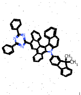 CC1(C)c2ccccc2-c2ccc(-n3c4ccc5ccccc5c4c4c5c6ccccc6c(-c6nc(-c7ccccc7)nc(-c7ccccc7)n6)cc5c5ccccc5c43)cc21